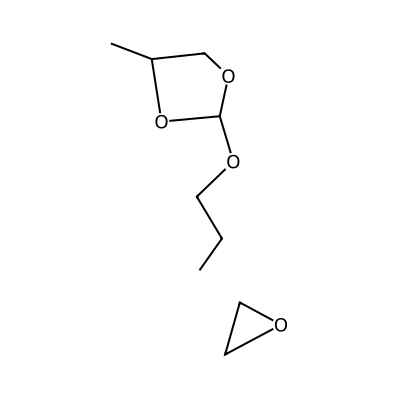 C1CO1.CCCOC1OCC(C)O1